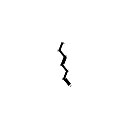 C=CC/[C]=C/CC